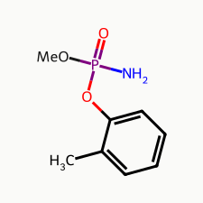 COP(N)(=O)Oc1ccccc1C